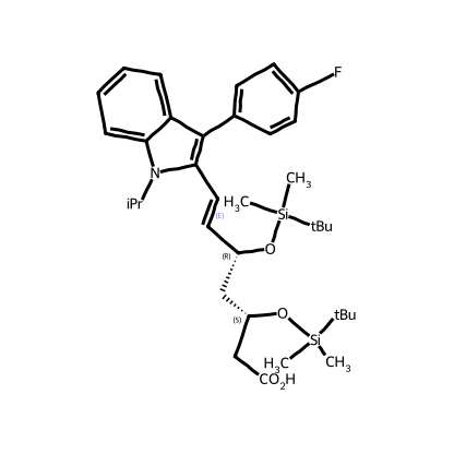 CC(C)n1c(/C=C/[C@@H](C[C@@H](CC(=O)O)O[Si](C)(C)C(C)(C)C)O[Si](C)(C)C(C)(C)C)c(-c2ccc(F)cc2)c2ccccc21